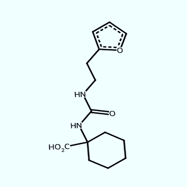 O=C(NCCc1ccco1)NC1(C(=O)O)CCCCC1